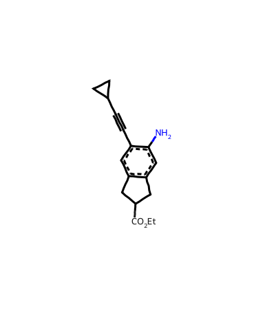 CCOC(=O)C1Cc2cc(N)c(C#CC3CC3)cc2C1